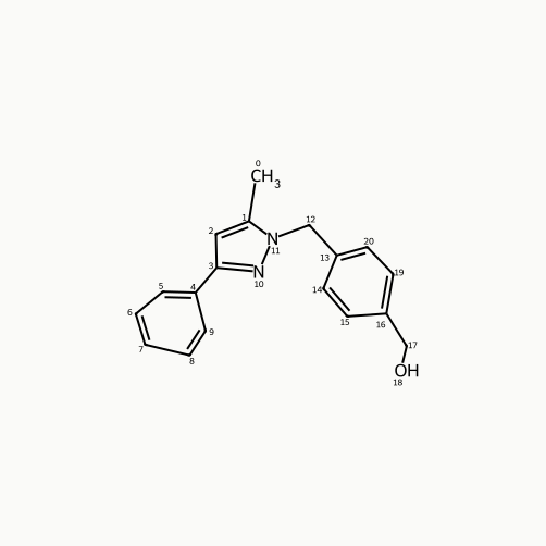 Cc1cc(-c2ccccc2)nn1Cc1ccc(CO)cc1